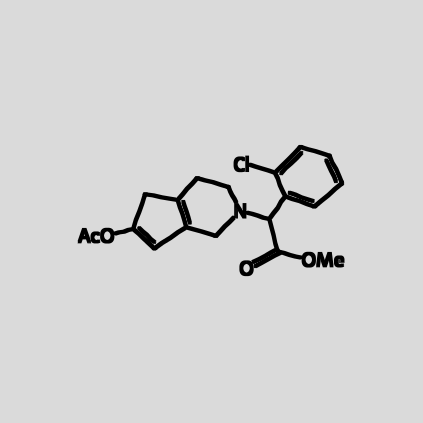 COC(=O)C(c1ccccc1Cl)N1CCC2=C(C=C(OC(C)=O)C2)C1